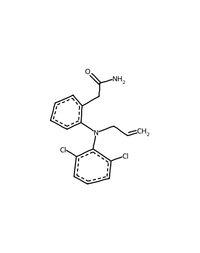 C=CCN(c1ccccc1CC(N)=O)c1c(Cl)cccc1Cl